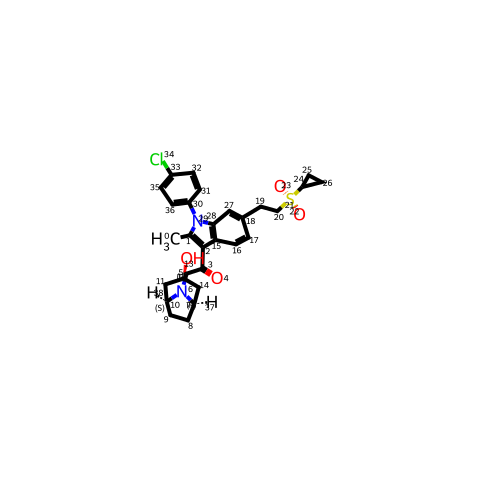 Cc1c(C(=O)CN2[C@@H]3CC[C@H]2C[C@@H](O)C3)c2ccc(CCS(=O)(=O)C3CC3)cc2n1-c1ccc(Cl)cc1